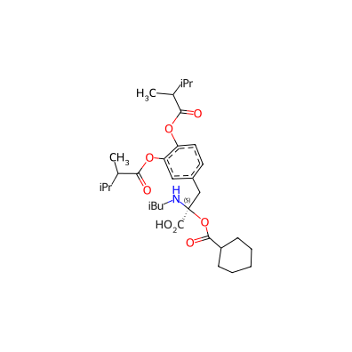 CCC(C)N[C@@](Cc1ccc(OC(=O)C(C)C(C)C)c(OC(=O)C(C)C(C)C)c1)(OC(=O)C1CCCCC1)C(=O)O